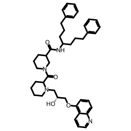 O=C(NC(CCCc1ccccc1)CCCc1ccccc1)C1CCCN(C(=O)C2CCCCN2C[C@@H](O)COc2cccc3ncccc23)C1